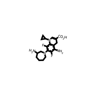 Nc1c(F)c(N2CCCCC(N)C2)c(F)c2c1CC(C(=O)O)=CN2C1CC1